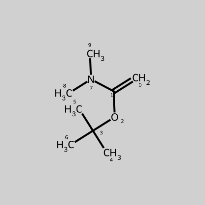 C=C(OC(C)(C)C)N(C)C